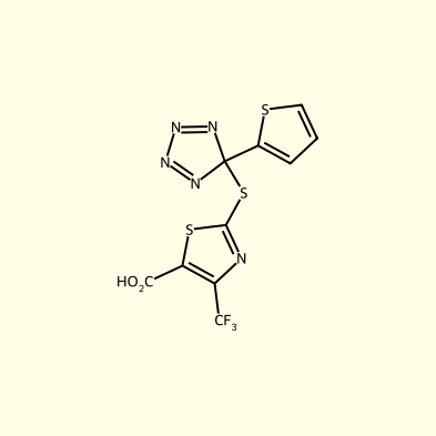 O=C(O)c1sc(SC2(c3cccs3)N=NN=N2)nc1C(F)(F)F